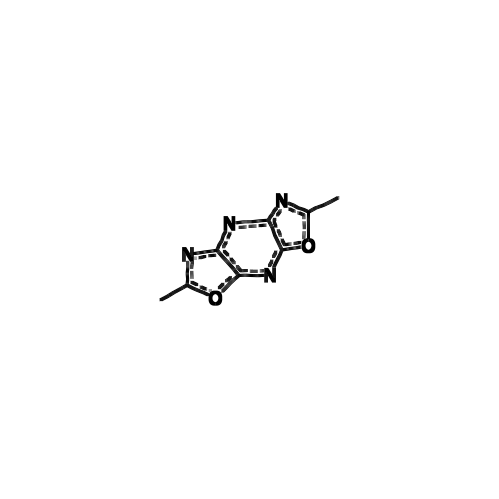 Cc1nc2nc3nc(C)oc3nc2o1